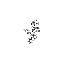 CC(C)(C)N(C[C@@H](O)[C@H](Cc1ccccc1)NC(=O)[C@H](CC(N)=O)NC(=O)OCc1ccccc1)C(=O)[C@@H]1C[C@@H]2CCC[C@@H]2N1